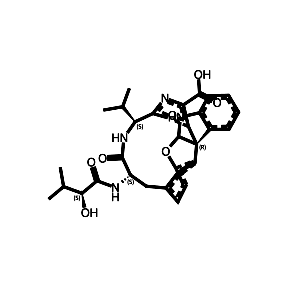 CC(C)[C@H](O)C(=O)N[C@H]1Cc2ccc3c(c2)[C@@]2(c4ccccc4NC2O3)c2oc(nc2C(=O)O)[C@H](C(C)C)NC1=O